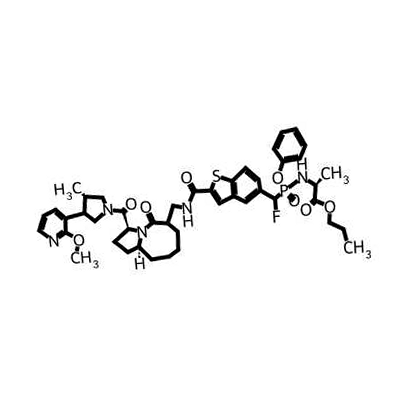 CCCOC(=O)[C@H](C)NP(=O)(Oc1ccccc1)C(F)c1ccc2sc(C(=O)NCC3CCCC[C@H]4CC[C@@H](C(=O)N5CC(c6cccnc6OC)[C@@H](C)C5)N4C3=O)cc2c1